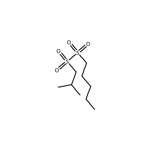 CCCCCS(=O)(=O)S(=O)(=O)CC(C)C